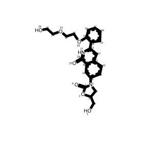 O=C1OC(CO)CN1c1ccc2cc(-c3ccccc3OCCOCCO)[nH]c(=O)c2c1